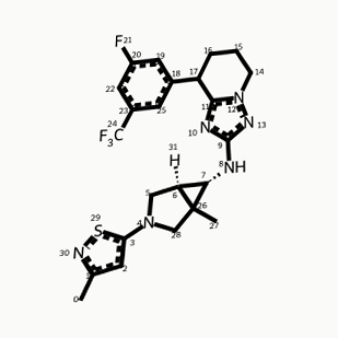 Cc1cc(N2C[C@H]3[C@H](Nc4nc5n(n4)CCCC5c4cc(F)cc(C(F)(F)F)c4)C3(C)C2)sn1